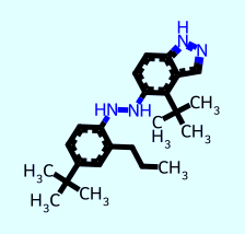 CCCc1cc(C(C)(C)C)ccc1NNc1ccc2[nH]ncc2c1C(C)(C)C